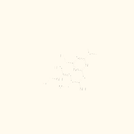 CCONC(N)=NN(OC)C(N)=Nc1nc(SCC)nc(N(CC)CC)n1